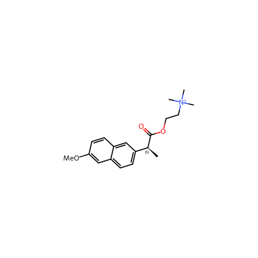 COc1ccc2cc([C@H](C)C(=O)OCC[N+](C)(C)C)ccc2c1